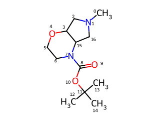 CN1CC2OCCN(C(=O)OC(C)(C)C)C2C1